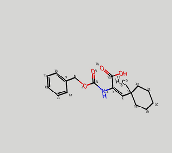 CC1(C=C(NC(=O)OCc2ccccc2)C(=O)O)CCCCC1